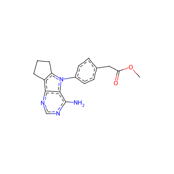 COC(=O)Cc1ccc(-n2c3c(c4ncnc(N)c42)CCC3)cc1